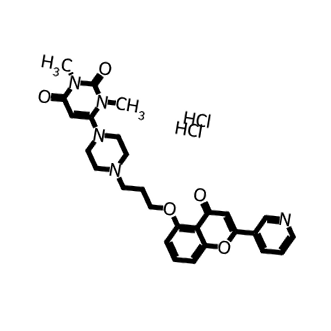 Cl.Cl.Cn1c(N2CCN(CCCOc3cccc4oc(-c5cccnc5)cc(=O)c34)CC2)cc(=O)n(C)c1=O